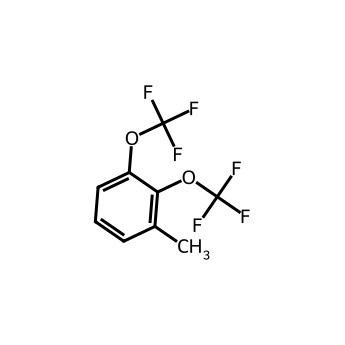 Cc1cccc(OC(F)(F)F)c1OC(F)(F)F